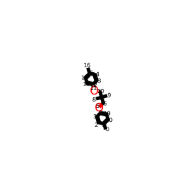 Cc1ccc(OCC(C)(C)COc2ccc(C)cc2)cc1